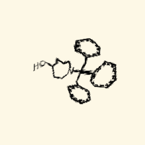 OC1CCN(C(c2ccccc2)(c2ccccc2)c2ccccc2)CC1